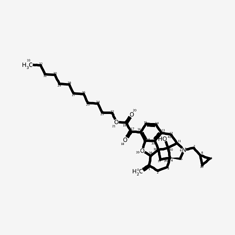 C=C1CC[C@]23CN(CC4CC4)C4Cc5ccc(C(=O)C(=O)OCCCCCCCCCCCC)c6c5C(C2)(C1O6)C43O